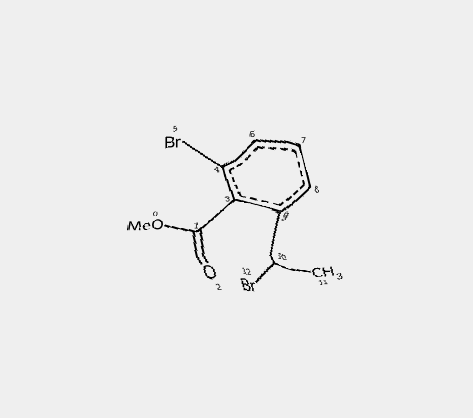 COC(=O)c1c(Br)cccc1C(C)Br